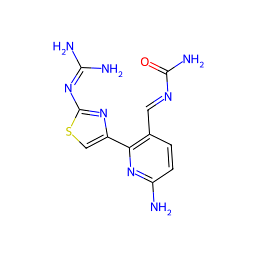 NC(=O)N=Cc1ccc(N)nc1-c1csc(N=C(N)N)n1